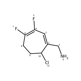 NCC1=CC(F)=C(F)CCC1Cl